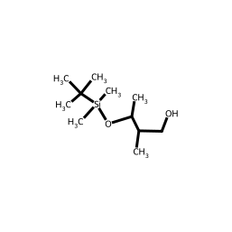 CC(CO)C(C)O[Si](C)(C)C(C)(C)C